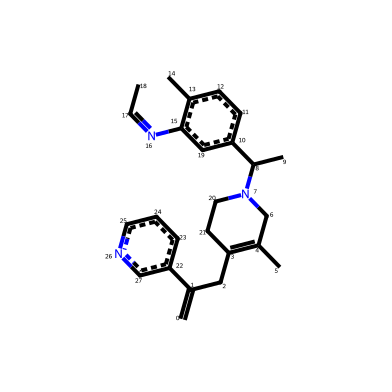 C=C(CC1=C(C)CN(C(C)c2ccc(C)c(/N=C\C)c2)CC1)c1cccnc1